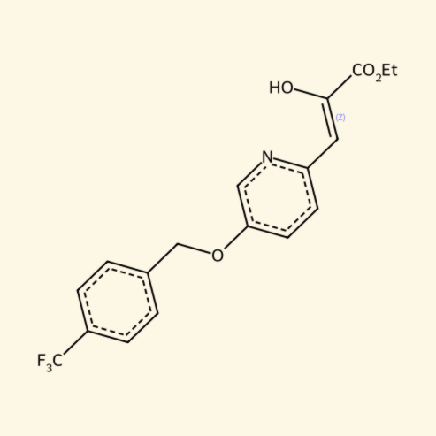 CCOC(=O)/C(O)=C/c1ccc(OCc2ccc(C(F)(F)F)cc2)cn1